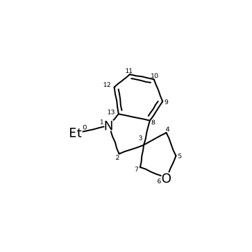 CCN1CC2(CCOC2)c2ccccc21